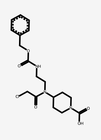 O=C(NCCN(C(=O)CCl)C1CCN(C(=O)O)CC1)OCc1ccccc1